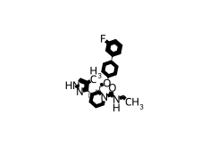 CCNC(=O)N1CCC[C@H](c2n[nH]cc2C)[C@@H]1CO[C@H]1CC[C@@H](c2cccc(F)c2)CC1